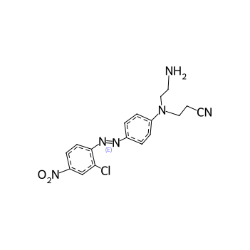 N#CCCN(CCN)c1ccc(/N=N/c2ccc([N+](=O)[O-])cc2Cl)cc1